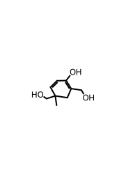 CC1(CO)C=CC(O)=C(CO)C1